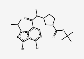 CC(C)c1nc(Br)c2c(Cl)ncc(C(=O)N(C)C3CCN(C(=O)OC(C)(C)C)C3)n12